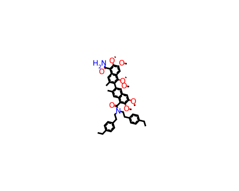 CCc1ccc(CCN(CCc2ccc(CC)cc2)C(=O)c2c(OC)c(OC)cc3c(OC)c(-c4c(C)cc5c(C(N)=O)c(OC)c(OC)cc5c4OC)c(C)cc23)cc1